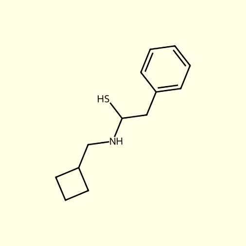 SC(Cc1ccccc1)NCC1CCC1